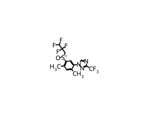 Cc1cc(C)c([S+]([O-])CC(F)(F)C(F)F)cc1-n1cnc(C(F)(F)F)n1